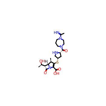 CC(=N)N1CCCN(C(=O)[C@@H]2C[C@H](SC3=C(C(=O)O)N4C(=O)[C@H]([C@@H](C)O)[C@H]4[C@H]3C)CN2)CC1